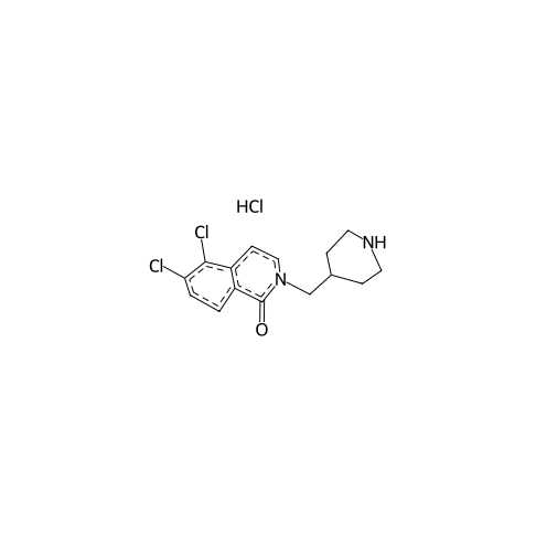 Cl.O=c1c2ccc(Cl)c(Cl)c2ccn1CC1CCNCC1